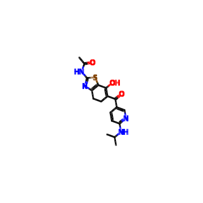 CC(=O)Nc1nc2c(s1)C(O)=C(C(=O)c1ccc(NC(C)C)nc1)CC2